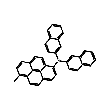 Cc1ccc2ccc3c(N(c4ccc5ccccc5c4)c4ccc5ccccc5c4)ccc4ccc1c2c43